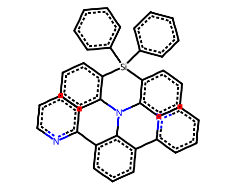 c1ccc([Si]2(c3ccccc3)c3ccccc3N(c3c(-c4ccccn4)cccc3-c3ccccn3)c3ccccc32)cc1